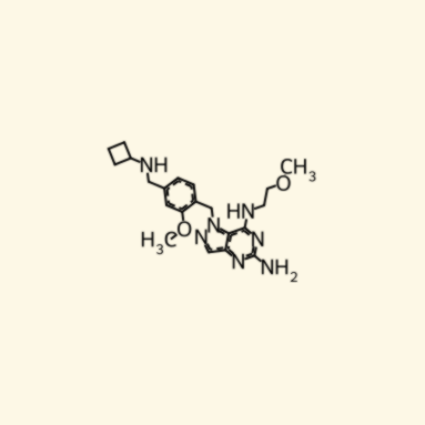 COCCNc1nc(N)nc2cnn(Cc3ccc(CNC4CCC4)cc3OC)c12